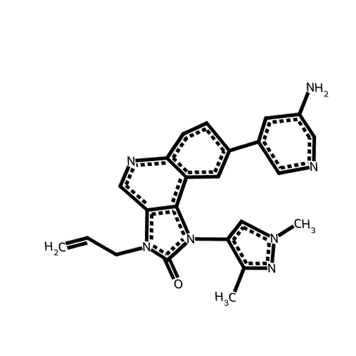 C=CCn1c(=O)n(-c2cn(C)nc2C)c2c3cc(-c4cncc(N)c4)ccc3ncc21